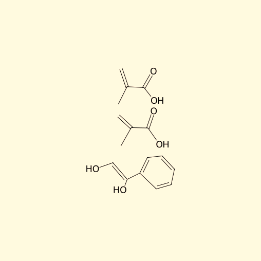 C=C(C)C(=O)O.C=C(C)C(=O)O.OC=C(O)c1ccccc1